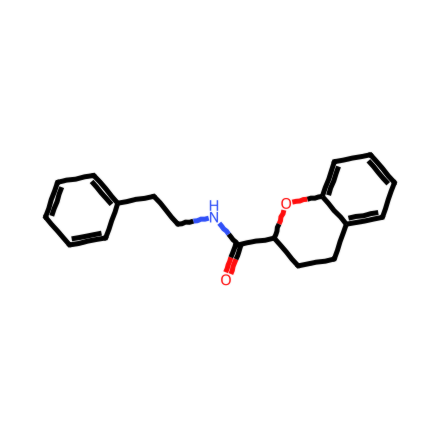 O=C(NCCc1ccccc1)C1CCc2ccccc2O1